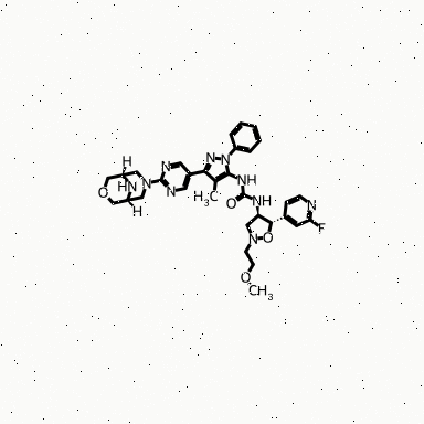 COCCN1C[C@@H](NC(=O)Nc2c(C)c(-c3cnc(N4C[C@H]5COC[C@@H](C4)N5)nc3)nn2-c2ccccc2)[C@H](c2ccnc(F)c2)O1